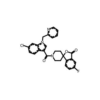 O=C1OC2(CCN(C(=O)c3cn(Cc4ccccn4)c4cc(Cl)ccc34)CC2)c2ccc(F)cc21